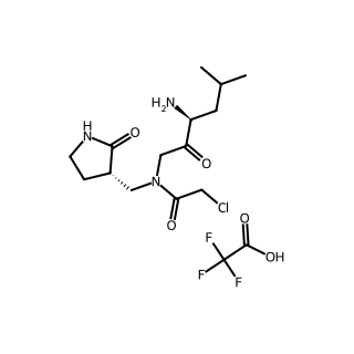 CC(C)C[C@H](N)C(=O)CN(C[C@@H]1CCNC1=O)C(=O)CCl.O=C(O)C(F)(F)F